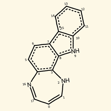 C1=CNc2c(ccc3c2[nH]c2ccccc23)N=C1